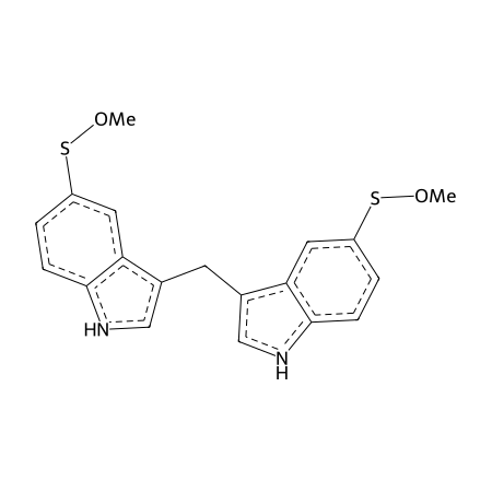 COSc1ccc2[nH]cc(Cc3c[nH]c4ccc(SOC)cc34)c2c1